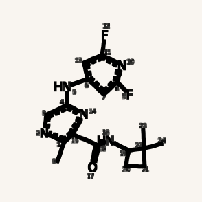 Cc1ncc(Nc2cc(F)nc(F)c2)nc1C(=O)NC1CCC1(C)C